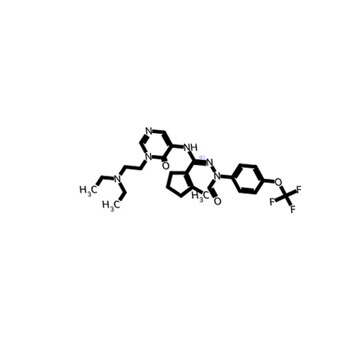 CCN(CC)CCn1cncc(N/C(=N/N(C=O)c2ccc(OC(F)(F)F)cc2)C2=C(C)CCC2)c1=O